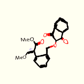 CO/C=C(/C(=O)OC)c1ccccc1COC1C(=O)c2ccccc2C1=O